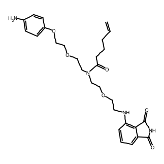 C=CCCCC(=O)N(CCOCCNc1cccc2c1C(=O)NC2=O)CCOCCOc1ccc(N)cc1